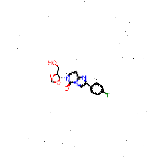 O=c1n([C@@H]2OCOC2CO)ccc2nc(-c3ccc(F)cc3)cn12